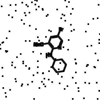 COc1cc(Br)cnc1NC1CCCCC1